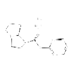 O.O.O=C([B]c1ccccc1)C1CCN2CCCC12